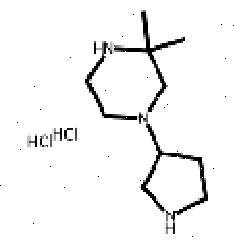 CC1(C)CN(C2CCNC2)CCN1.Cl.Cl